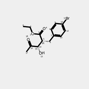 CCOC(=O)[C@H](Cc1ccc(Br)cc1)[C@H](O)C(C)=O